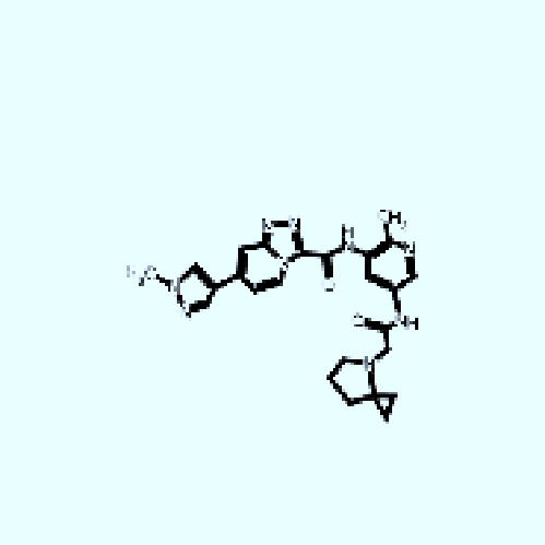 Cc1ncc(NC(=O)CN2CCCC23CC3)cc1NC(=O)c1nnc2cc(-c3cnn(C)c3)ccn12